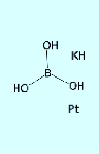 OB(O)O.[KH].[Pt]